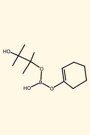 CC(C)(O)C(C)(C)OB(O)OC1=CCCCC1